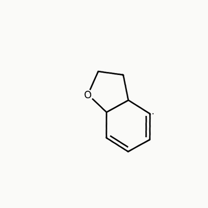 [C]1=CC=CC2OCCC12